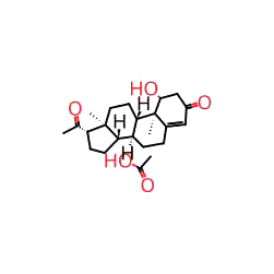 CC(=O)O.CC(=O)[C@H]1CC[C@H]2[C@@H]3CCC4=CC(=O)CC(O)[C@]4(C)[C@H]3CC[C@]12C